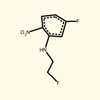 O=[N+]([O-])c1ccc(F)cc1NCCF